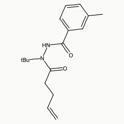 C=CCCC(=O)N(NC(=O)c1cccc(C)c1)C(C)(C)C